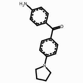 Nc1ccc(C(=O)c2ccc(N3CCCC3)cc2)cc1